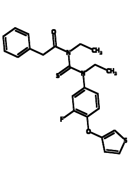 CCN(C(=O)Cc1ccccc1)C(=S)N(CC)c1ccc(Oc2ccsc2)c(F)c1